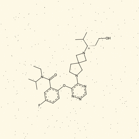 CCN(C(=O)c1cc(F)ccc1Oc1nncnc1N1CCC2(C1)CN([C@@H](CCO)C(C)C)C2)C(C)C